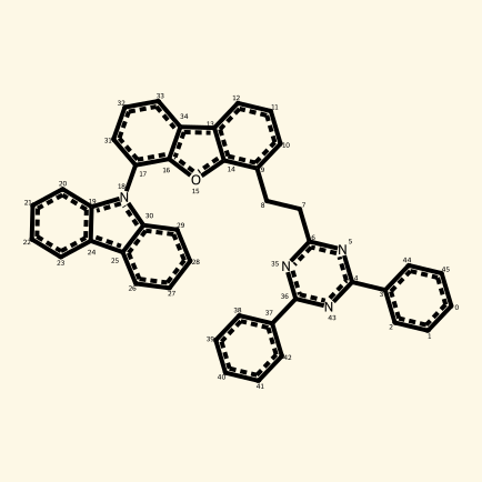 c1ccc(-c2nc(CCc3cccc4c3oc3c(-n5c6ccccc6c6ccccc65)cccc34)nc(-c3ccccc3)n2)cc1